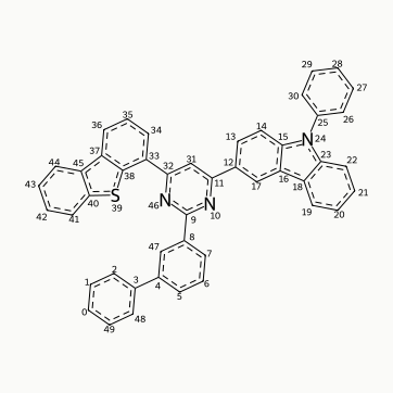 c1ccc(-c2cccc(-c3nc(-c4ccc5c(c4)c4ccccc4n5-c4ccccc4)cc(-c4cccc5c4sc4ccccc45)n3)c2)cc1